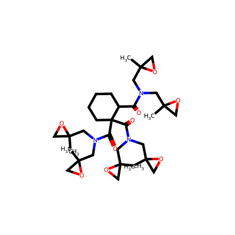 CC1(CN(CC2(C)CO2)C(=O)C2CCCCC2(C(=O)N(CC2(C)CO2)CC2(C)CO2)C(=O)N(CC2(C)CO2)CC2(C)CO2)CO1